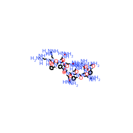 C[C@H](c1ccccc1)N(CC(=O)N(CCCNC(=N)N)CC(=O)N(CCCNC(=N)N)CC(=O)N(CC(=O)N(CCCNC(=N)N)CC(=O)N(CCCNC(=N)N)CC(=O)N(CC(=O)N(CCCNC(=N)N)CC(=O)N(CCCNC(=N)N)CC(=O)N(CC(N)=O)[C@@H](C)c1ccccc1)[C@H](C)c1ccccc1)[C@@H](C)c1ccccc1)C(=O)CN(CCCNC(=N)N)C(=O)CNCCCNC(=N)N